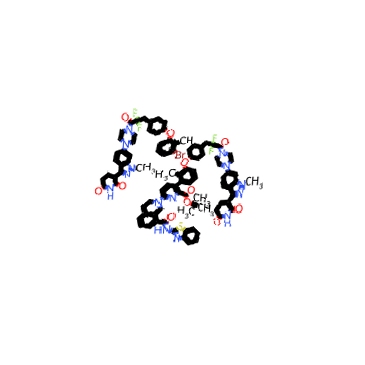 Cc1c(Br)cccc1OC1CCC(CC(F)(F)C(=O)N2CCN(c3ccc4c(C5CCC(=O)NC5=O)nn(C)c4c3)CC2)CC1.Cc1c(OC2CCC(CC(F)(F)C(=O)N3CCN(c4ccc5c(C6CCC(=O)NC6=O)nn(C)c5c4)CC3)CC2)cccc1-c1ccc(N2CCc3cccc(C(=O)Nc4nc5ccccc5s4)c3C2)nc1C(=O)OC(C)(C)C